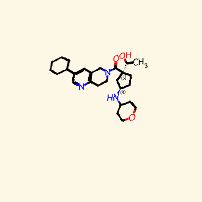 CC(O)[C@]1(C(=O)N2CCc3ncc(C4CCCCC4)cc3C2)CC[C@@H](NC2CCOCC2)C1